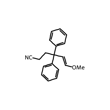 COC=CC(CCC#N)(c1ccccc1)c1ccccc1